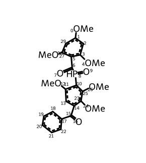 COc1cc(OC)c(C(=O)[PH](=O)c2c(OC)cc(C(=O)c3ccccc3)c(OC)c2OC)c(OC)c1